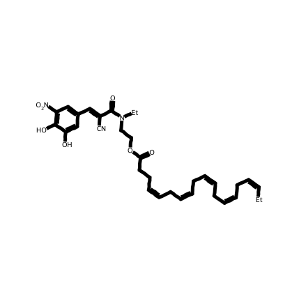 CC/C=C\C/C=C\C/C=C\C/C=C\C/C=C\CCC(=O)OCCN(CC)C(=O)/C(C#N)=C/c1cc(O)c(O)c([N+](=O)[O-])c1